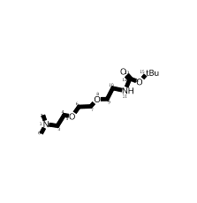 CN(C)CCOCCOCCNC(=O)OC(C)(C)C